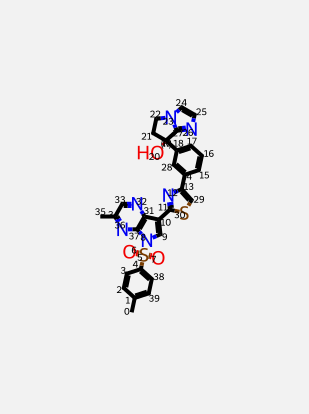 Cc1ccc(S(=O)(=O)n2cc(-c3nc(-c4cccc([C@]5(O)CCn6ccnc65)c4)cs3)c3ncc(C)nc32)cc1